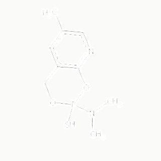 Cc1cnc2c(c1)CO[P](S)(N(C)C)O2